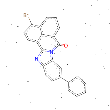 O=c1c2cccc3c(Br)ccc(c32)c2nc3ccc(-c4ccccc4)cc3n12